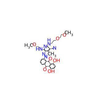 COCCNc1nc(NCCCOCCOC)c(C#N)c(C)c1/N=N/c1cccc2c1C(=O)c1c(O)ccc(O)c1C2=O